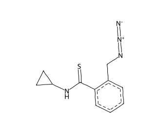 [N-]=[N+]=NCc1ccccc1C(=S)NC1CC1